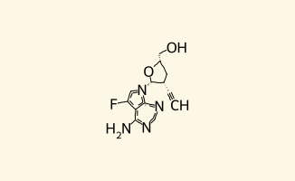 C#C[C@H]1C[C@@H](CO)O[C@H]1n1cc(F)c2c(N)ncnc21